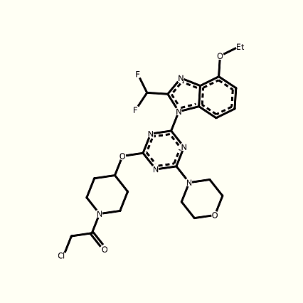 CCOc1cccc2c1nc(C(F)F)n2-c1nc(OC2CCN(C(=O)CCl)CC2)nc(N2CCOCC2)n1